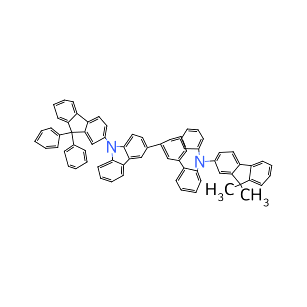 CC1(C)c2ccccc2-c2ccc(N(c3ccccc3)c3ccccc3-c3cccc(-c4ccc5c(c4)c4ccccc4n5-c4ccc5c(c4)C(c4ccccc4)(c4ccccc4)c4ccccc4-5)c3)cc21